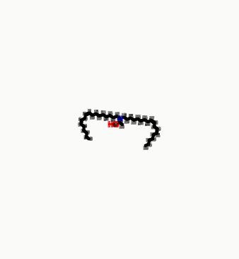 CCCCC/C=C\C/C=C\CCCCCCCCN(CCCCCCCC/C=C\C/C=C\CCCCC)C(C)O